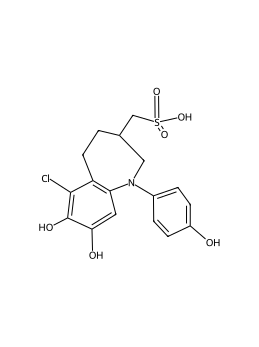 O=S(=O)(O)CC1CCc2c(cc(O)c(O)c2Cl)N(c2ccc(O)cc2)C1